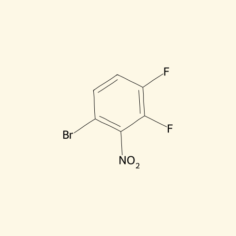 O=[N+]([O-])c1c(Br)ccc(F)c1F